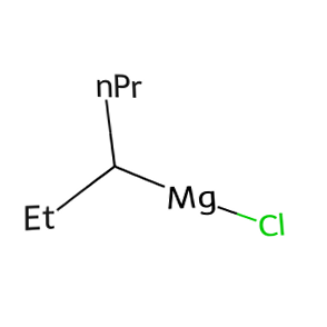 CCC[CH](CC)[Mg][Cl]